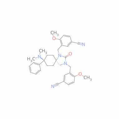 COc1ccc(C#N)cc1CN1C[C@]2(CC[C@](c3ccccc3)(N(C)C)CC2)N(Cc2cc(C#N)ccc2OC)C1=O